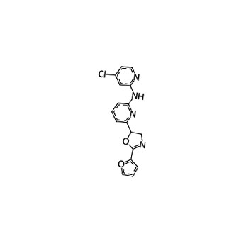 Clc1ccnc(Nc2cccc(C3CN=C(c4ccco4)O3)n2)c1